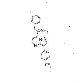 N[C@H](Cc1ccccc1)c1ccnc2c(-c3ccc(C(F)(F)F)cc3)cnn12